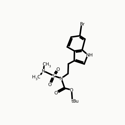 CN(C)S(=O)(=O)N(CCc1c[nH]c2cc(Br)ccc12)C(=O)OC(C)(C)C